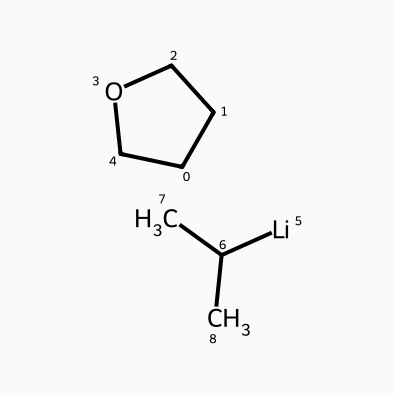 C1CCOC1.[Li][CH](C)C